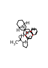 CC(=O)[C@@H]1CCCN1C(=O)CN(c1ccccc1)[C@H]1C[C@H]2CCC[C@@H](C1)N2[C@H]1C[C@@H]2CCC[C@@H](C2)C1